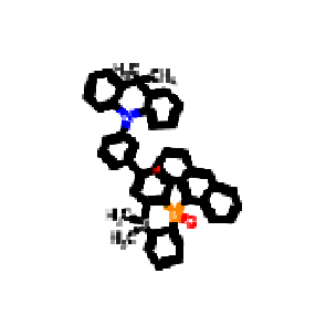 CC1(C)c2ccccc2N(c2cccc(-c3ccc4c(c3)[Si](C)(C)c3ccccc3P4(=O)c3c4ccccc4cc4ccccc34)c2)c2ccccc21